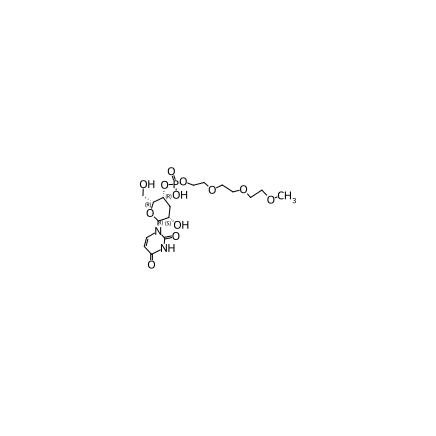 COCCOCCOCCOP(=O)(O)O[C@@H]1C[C@H](O)[C@H](n2ccc(=O)[nH]c2=O)O[C@@H]1CO